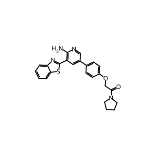 Nc1ncc(-c2ccc(OCC(=O)N3CCCC3)cc2)cc1-c1nc2ccccc2s1